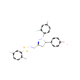 CCOc1ccc(C2CC(CNS(=O)(=O)c3cc(F)ccc3C)=NN2c2ccc(Cl)cc2Cl)cc1